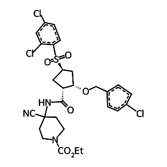 CCOC(=O)N1CCC(C#N)(NC(=O)[C@@H]2C[C@@H](S(=O)(=O)c3ccc(Cl)cc3Cl)C[C@@H]2OCc2ccc(Cl)cc2)CC1